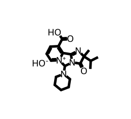 CC(C)C1(C)N=C2c3c(C(=O)O)ccc[n+]3C(N3CCCCC3)N2C1=O.[OH-]